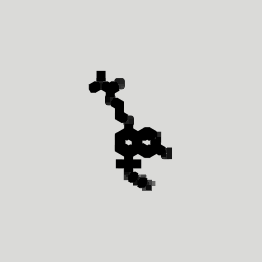 CN(C)C(=O)OCCOc1ccc(C(C)(C)N=[N+]=[N-])c2cc(Cl)ncc12